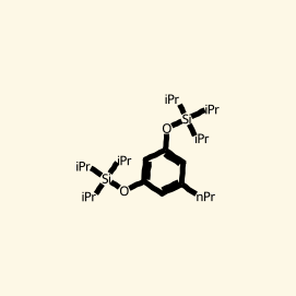 CCCc1cc(O[Si](C(C)C)(C(C)C)C(C)C)cc(O[Si](C(C)C)(C(C)C)C(C)C)c1